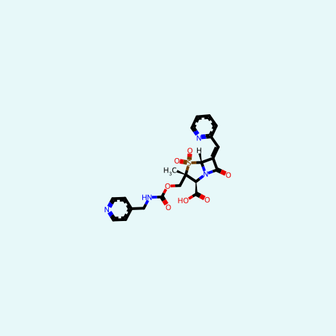 C[C@]1(COC(=O)NCc2ccncc2)[C@H](C(=O)O)N2C(=O)/C(=C/c3ccccn3)[C@H]2S1(=O)=O